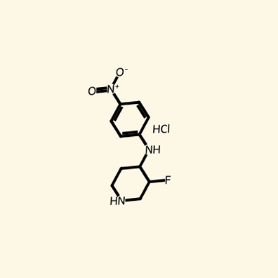 Cl.O=[N+]([O-])c1ccc(NC2CCNCC2F)cc1